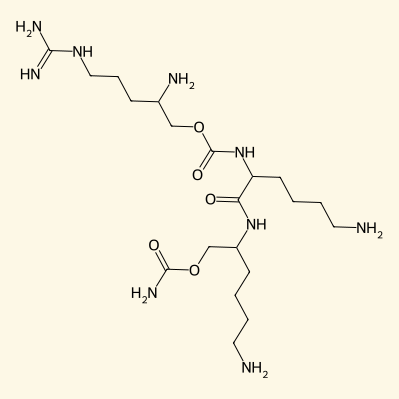 N=C(N)NCCCC(N)COC(=O)NC(CCCCN)C(=O)NC(CCCCN)COC(N)=O